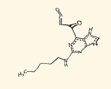 CCCCCNc1nc(C(=O)C=C=O)c2[nH]cnc2n1